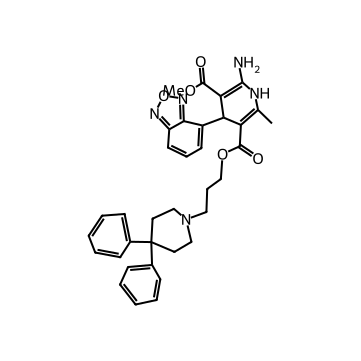 COC(=O)C1=C(N)NC(C)=C(C(=O)OCCCN2CCC(c3ccccc3)(c3ccccc3)CC2)C1c1cccc2nonc12